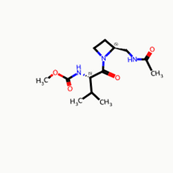 COC(=O)N[C@H](C(=O)N1CC[C@H]1CNC(C)=O)C(C)C